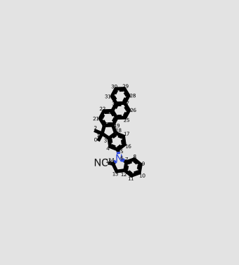 CC1(C)c2cc(N3c4ccccc4CC3C#N)ccc2-c2c1ccc1c2ccc2ccccc21